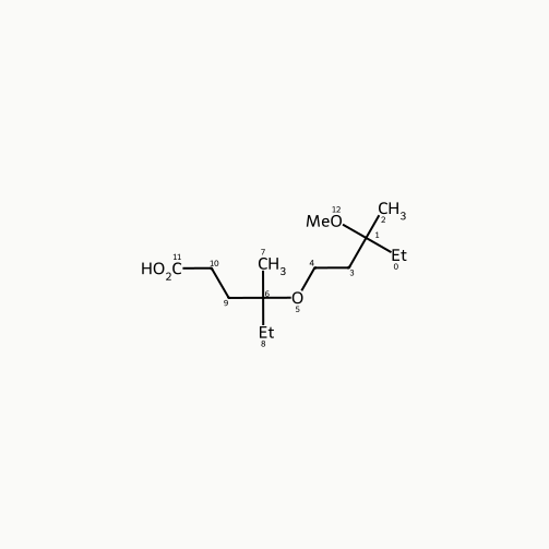 CCC(C)(CCOC(C)(CC)CCC(=O)O)OC